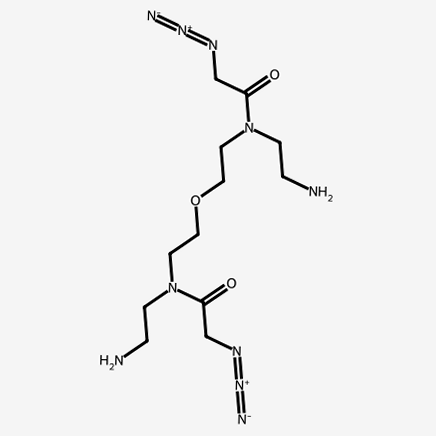 [N-]=[N+]=NCC(=O)N(CCN)CCOCCN(CCN)C(=O)CN=[N+]=[N-]